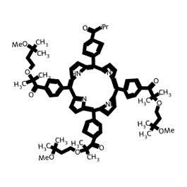 COC(C)(C)CCOC(C)(C)C(=O)c1ccc(-c2c3nc(c(-c4ccc(C(=O)C(C)(C)OCCC(C)(C)OC)cc4)c4ccc([nH]4)c(-c4ccc(C(=O)C(C)(C)OCCC(C)(C)OC)cc4)c4nc(c(-c5ccc(C(=O)C(C)C)cc5)c5ccc2[nH]5)C=C4)C=C3)cc1